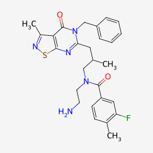 Cc1ccc(C(=O)N(CCN)CC(C)Cc2nc3snc(C)c3c(=O)n2Cc2ccccc2)cc1F